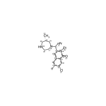 CCCC(c1nc2cc(F)c(Cl)cc2c(=O)n1CC)N1CCNC[C@H](C)C1